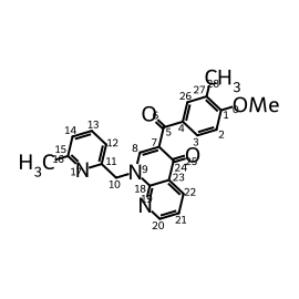 COc1ccc(C(=O)c2cn(Cc3cccc(C)n3)c3ncccc3c2=O)cc1C